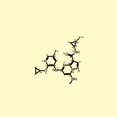 CNc1cc(Nc2cc(F)cnc2OC2CC2)nc2c(C(=O)N[C@H]3C[C@H]3F)cnn12